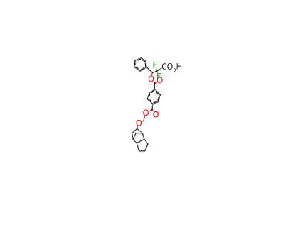 O=C(OCOC1CC2CC1C1CCCC21)c1ccc(C(=O)OC(c2ccccc2)C(F)(F)C(=O)O)cc1